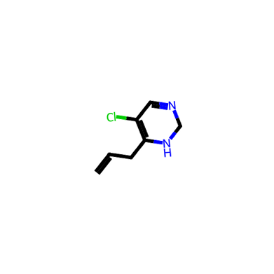 C=CCC1=C(Cl)C=NCN1